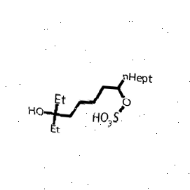 CCCCCCCC(CCCCC(O)(CC)CC)OS(=O)(=O)O